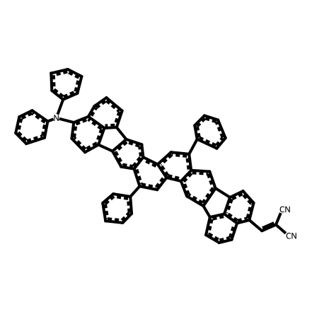 N#CC(C#N)=Cc1ccc2c3c(cccc13)-c1cc3c(cc1-2)c(-c1ccccc1)cc1c2cc4c(cc2c(-c2ccccc2)cc31)-c1ccc(N(c2ccccc2)c2ccccc2)c2cccc-4c12